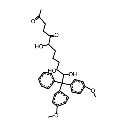 COc1ccc(C(c2ccccc2)(c2ccc(OC)cc2)C(O)C(O)CCCC(O)C(=O)CCC(C)=O)cc1